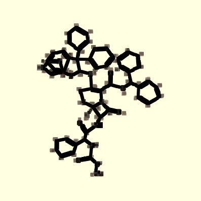 CC(C)(C)OC(=O)NC(C(=O)N[C@@H]1C(=O)N2C(C(=O)OC(c3ccccc3)c3ccccc3)=C(SC(Sc3c[nH]nn3)C(c3ccccc3)(c3ccccc3)c3ccccc3)CS[C@H]12)c1ccccc1